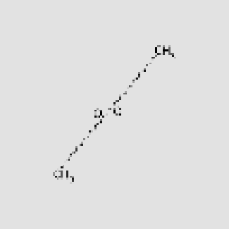 CCCCCCCCCCCCCCCC(=O)CCC(=O)CCCCCCCCCCCCCCC